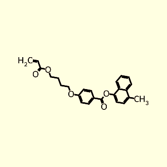 C=CC(=O)OCCCCOc1ccc(C(=O)Oc2ccc(C)c3ccccc23)cc1